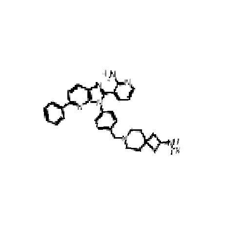 N#CNC1CC2(CCN(Cc3ccc(-n4c(-c5cccnc5N)nc5ccc(-c6ccccc6)nc54)cc3)CC2)C1